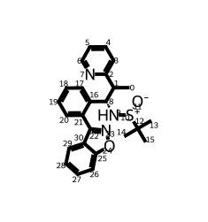 CC(c1ccccn1)[C@H](N[S@@+]([O-])C(C)(C)C)c1ccccc1-c1noc2ccccc12